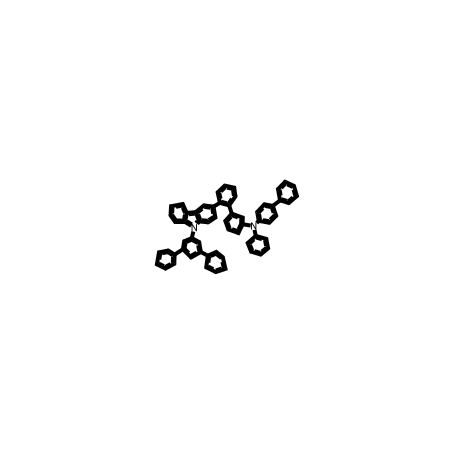 c1ccc(-c2ccc(N(c3ccccc3)c3cccc(-c4ccccc4-c4ccc5c(c4)c4ccccc4n5-c4cc(-c5ccccc5)cc(-c5ccccc5)c4)c3)cc2)cc1